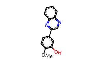 COc1ccc(-c2cnc3ccccc3n2)cc1O